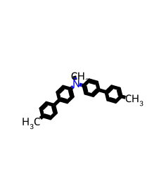 Cc1ccc(-c2ccc(N(C)c3ccc(-c4ccc(C)cc4)cc3)cc2)cc1